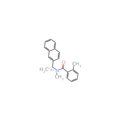 Cc1ccccc1C(=O)N(C)[C@H](C)c1ccc2ccccc2c1